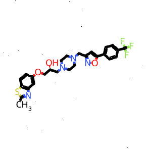 Cc1nc2cc(OC[C@H](O)CN3CCN(Cc4cc(-c5ccc(C(F)(F)F)cc5)on4)CC3)ccc2s1